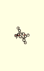 COc1ccc2c(c1)c1cc(OC)ccc1n2-c1ccc(C)cc1-c1cc(C(F)(F)F)ccc1-n1c2ccc(OC)cc2c2cc(OC)ccc21